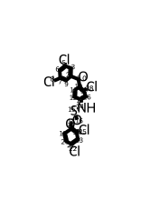 O=C(c1cc(Cl)cc(Cl)c1)c1ccc(NSOOc2ccc(Cl)cc2Cl)cc1Cl